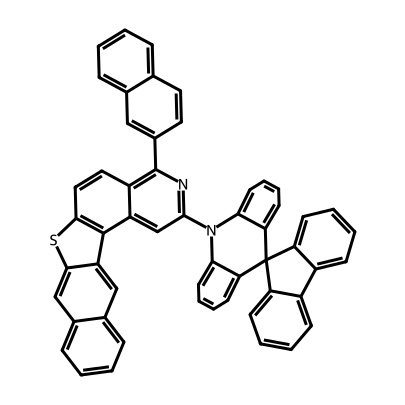 c1ccc2c(c1)-c1ccccc1C21c2ccccc2N(c2cc3c(ccc4sc5cc6ccccc6cc5c43)c(-c3ccc4ccccc4c3)n2)c2ccccc21